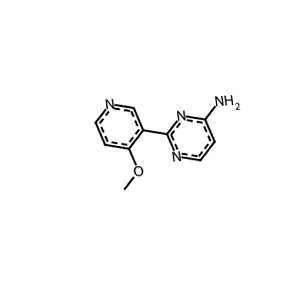 COc1ccncc1-c1nccc(N)n1